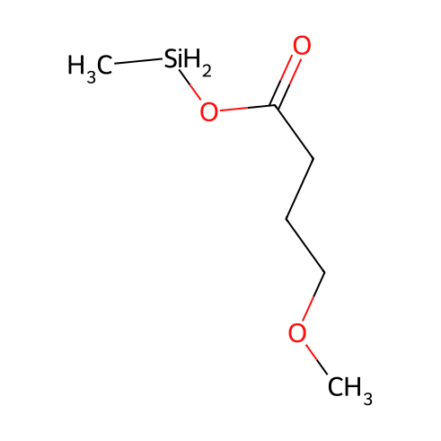 COCCCC(=O)O[SiH2]C